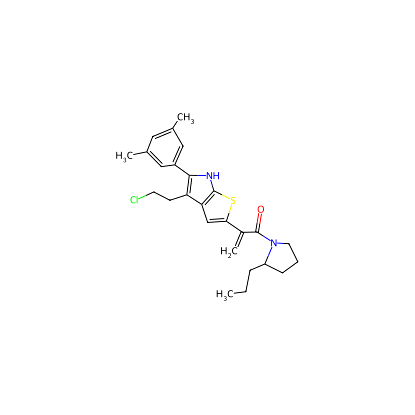 C=C(C(=O)N1CCCC1CCC)c1cc2c(CCCl)c(-c3cc(C)cc(C)c3)[nH]c2s1